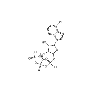 O=P(O)(O)OP(=O)(O)OP(=O)(O)OC1OC(n2cnc3c(Cl)ccnc32)C(O)C1O